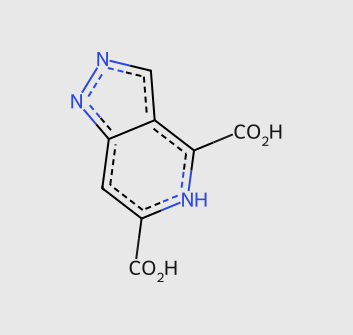 O=C(O)c1cc2nncc-2c(C(=O)O)[nH]1